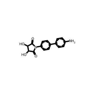 Nc1ccc(-c2ccc(N3C(=O)C(O)C(O)C3=O)cc2)cc1